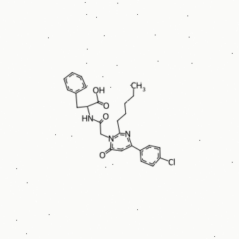 CCCCCc1nc(-c2ccc(Cl)cc2)cc(=O)n1CC(=O)NC(Cc1ccccc1)C(=O)O